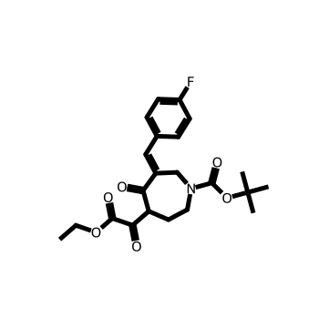 CCOC(=O)C(=O)C1CCN(C(=O)OC(C)(C)C)C/C(=C\c2ccc(F)cc2)C1=O